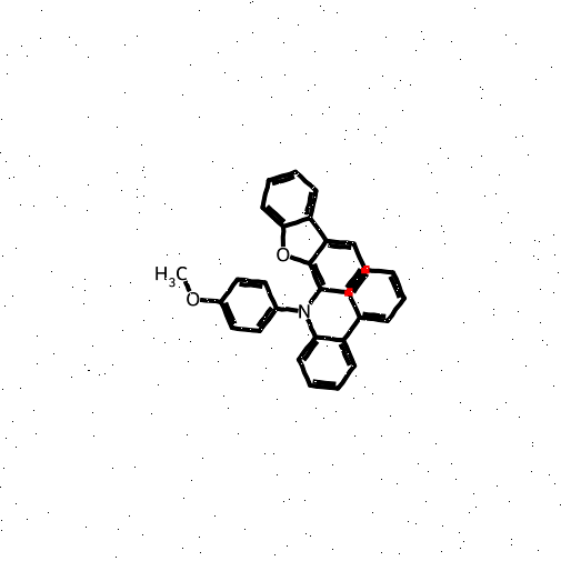 COc1ccc(N(c2ccccc2-c2ccccc2)c2cccc3c2oc2ccccc23)cc1